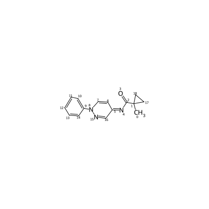 CC1(C(=O)/N=c2\ccn(-c3ccccc3)nc2)CC1